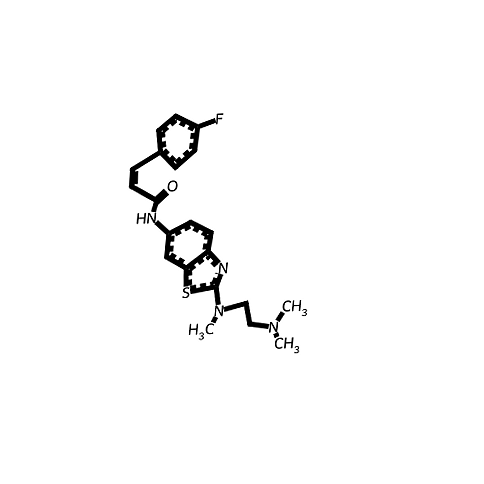 CN(C)CCN(C)c1nc2ccc(NC(=O)/C=C\c3ccc(F)cc3)cc2s1